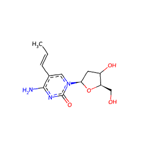 CC=Cc1cn([C@H]2CC(O)[C@@H](CO)O2)c(=O)nc1N